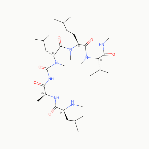 CNC(=O)[C@H](C(C)C)N(C)C(=O)[C@H](CCC(C)C)N(C)C(=O)[C@@H](CC(C)C)N(C)C(=O)NC(=O)[C@H](C)NC(=O)[C@H](CC(C)C)NC